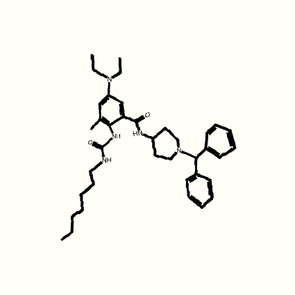 CCCCCCCNC(=O)Nc1c(C)cc(N(CC)CC)cc1C(=O)NC1CCN(C(c2ccccc2)c2ccccc2)CC1